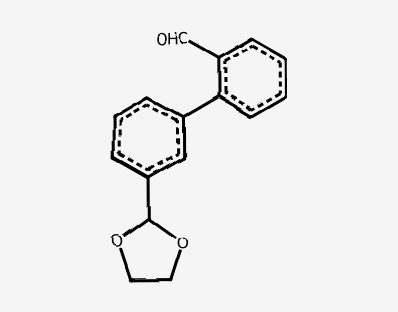 O=Cc1ccccc1-c1cccc(C2OCCO2)c1